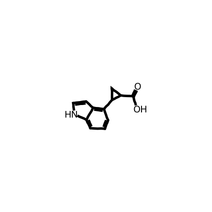 O=C(O)C1CC1c1cccc2[nH]ccc12